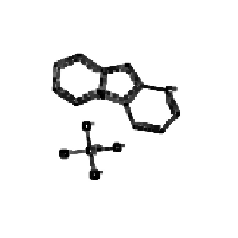 [C+]1=CC=Cc2c1cc1ccccn21.[O-][Cl+3]([O-])([O-])[O-]